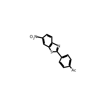 CC(=O)c1ccc(-c2nc3ccc([N+](=O)[O-])cc3s2)cc1